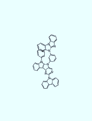 c1ccc(-n2c3ccccc3c3c4nc(-n5c6ccccc6c6ccccc65)ncc4n(-c4cccc(-n5c6ccccc6n6c7ccccc7nc56)c4)c32)cc1